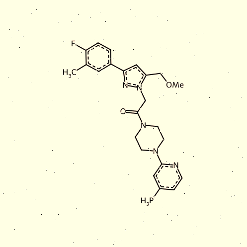 COCc1cc(-c2ccc(F)c(C)c2)nn1CC(=O)N1CCN(c2cc(P)ccn2)CC1